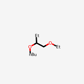 CCCCOC(CC)COCC